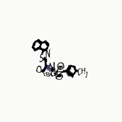 Cc1ccc(S(=O)(=O)O/N=C(\C(=O)C(C)(C)C)c2nc3ccc4ccccc4c3s2)cc1